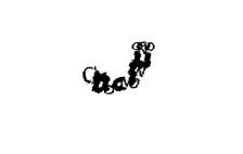 CS(=O)(=O)N1CCc2nc(C(=O)N3CCC(Oc4ccc(Cl)cc4)CC3)ccc2C1